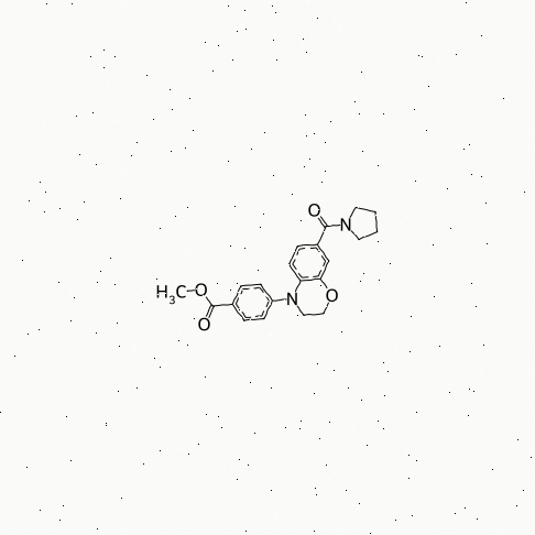 COC(=O)c1ccc(N2CCOc3cc(C(=O)N4CCCC4)ccc32)cc1